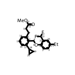 CCc1ccc(OCc2c(CCC(=O)OC)cccc2C2CC2)c(C(F)F)c1